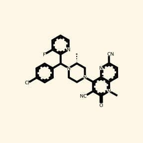 C[C@@H]1CN(c2c(C#N)c(=O)n(C)c3ccc(C#N)nc23)CCN1C(c1ccc(Cl)cc1)c1ncccc1F